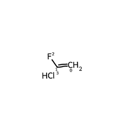 C=CF.Cl